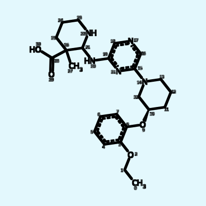 CCOc1ccccc1O[C@@H]1CCCN(c2cncc(NC3NCCCC3(C)C(=O)O)n2)C1